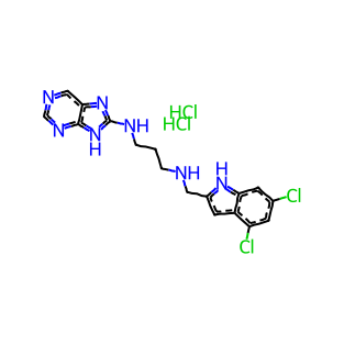 Cl.Cl.Clc1cc(Cl)c2cc(CNCCCNc3nc4cncnc4[nH]3)[nH]c2c1